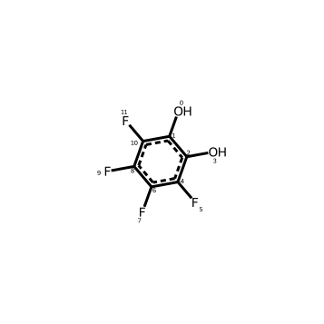 Oc1c(O)c(F)c(F)c(F)c1F